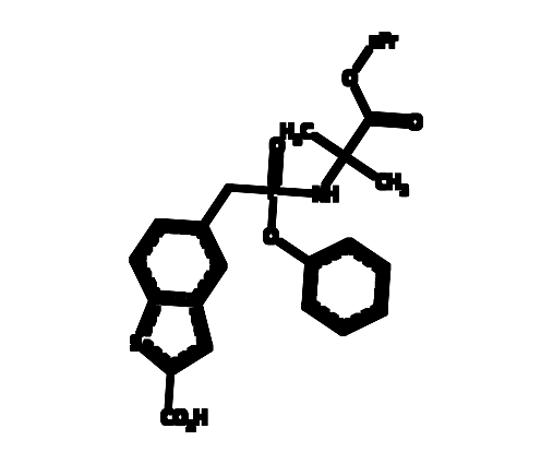 CCCOC(=O)C(C)(C)NP(=O)(Cc1ccc2sc(C(=O)O)cc2c1)Oc1ccccc1